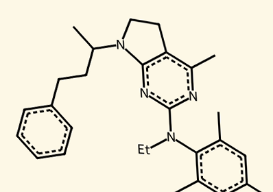 CCN(c1nc(C)c2c(n1)N(C(C)CCc1ccccc1)CC2)c1c(C)cc(C)cc1C